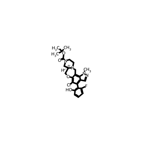 Cn1ncc2c(-c3c(O)cccc3F)c(Cl)c3c(c21)CN1CCN(C(=O)OC(C)(C)C)C[C@@H]1CO3